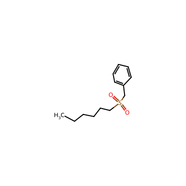 CCCCCCS(=O)(=O)Cc1ccccc1